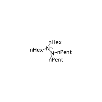 CCCCCC[N+](CCCCCC)N(CCCCC)CCCCC